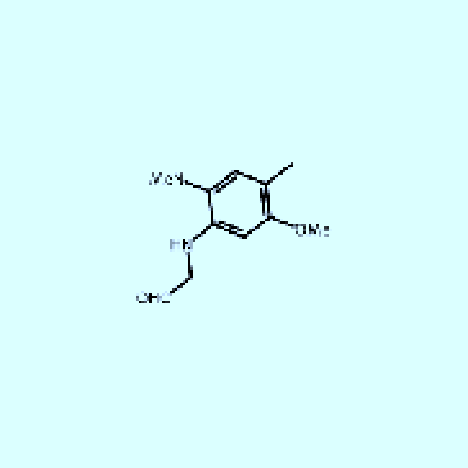 CNc1cc(C)c(OC)cc1NCC=O